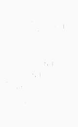 O=C(NC(=S)Nc1cc(Br)c(O)c(C(F)(F)F)c1)C12CC3CC(CC(C3)C1)C2